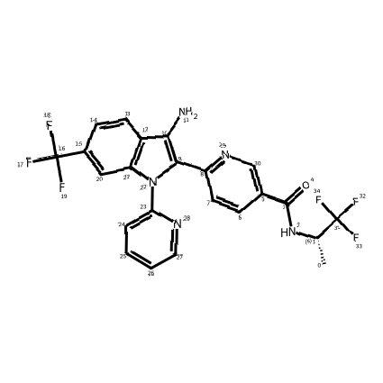 C[C@H](NC(=O)c1ccc(-c2c(N)c3ccc(C(F)(F)F)cc3n2-c2ccccn2)nc1)C(F)(F)F